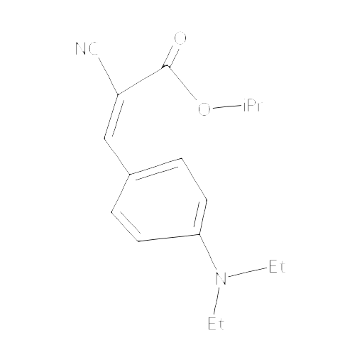 CCN(CC)c1ccc(C=C(C#N)C(=O)OC(C)C)cc1